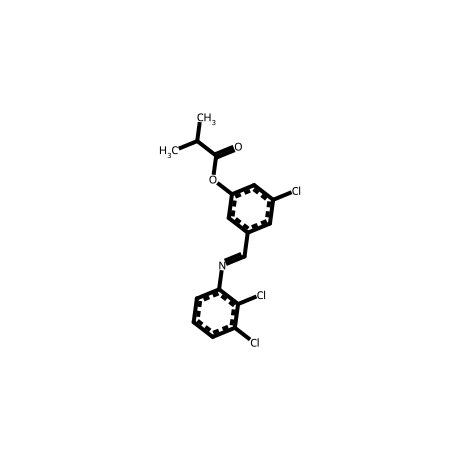 CC(C)C(=O)Oc1cc(Cl)cc(C=Nc2cccc(Cl)c2Cl)c1